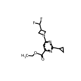 CCOC(=O)c1cc(N2CC(C(F)F)C2)nc(C2CC2)n1